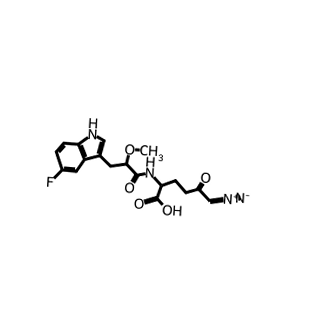 COC(Cc1c[nH]c2ccc(F)cc12)C(=O)NC(CCC(=O)C=[N+]=[N-])C(=O)O